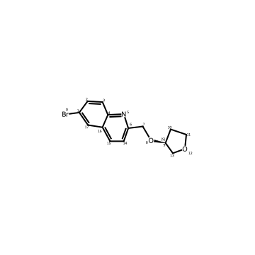 Brc1ccc2nc(CO[C@H]3CCOC3)ccc2c1